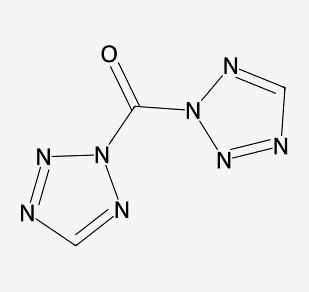 O=C(n1ncnn1)n1ncnn1